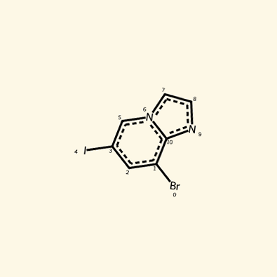 Brc1cc(I)cn2ccnc12